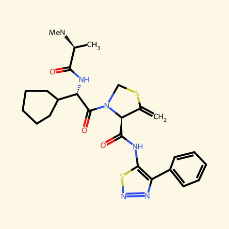 C=C1SCN(C(=O)[C@@H](NC(=O)[C@H](C)NC)C2CCCCC2)[C@@H]1C(=O)Nc1snnc1-c1ccccc1